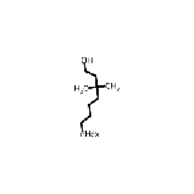 CCCCCCCCCCC(C)(C)CCO